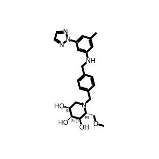 COC[C@@H]1[C@@H](O)[C@H](O)[C@@H](O)CN1Cc1ccc(CNc2cc(C)cc(-n3nccn3)c2)cc1